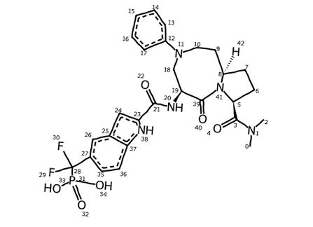 CN(C)C(=O)[C@@H]1CC[C@@H]2CCN(c3ccccc3)C[C@H](NC(=O)c3cc4cc(C(F)(F)P(=O)(O)O)ccc4[nH]3)C(=O)N21